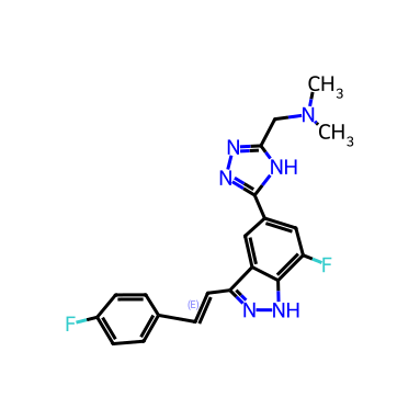 CN(C)Cc1nnc(-c2cc(F)c3[nH]nc(/C=C/c4ccc(F)cc4)c3c2)[nH]1